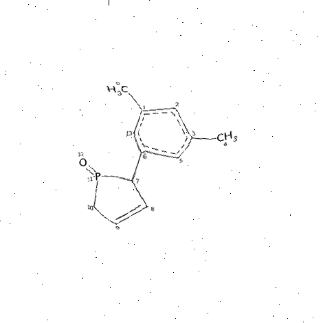 Cc1cc(C)cc(C2C=CC[P]2=O)c1